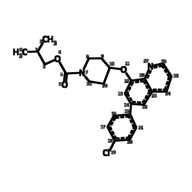 CC(C)COC(=O)N1CCC(Oc2cc(-c3ccc(Cl)cc3)cc3cccnc23)CC1